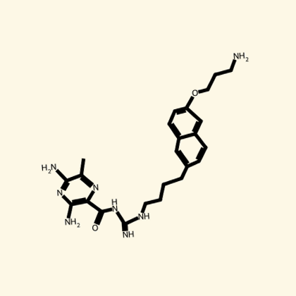 Cc1nc(C(=O)NC(=N)NCCCCc2ccc3cc(OCCCN)ccc3c2)c(N)nc1N